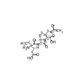 C=CC(N)(CCC(=O)O)C(=O)NC1C(=O)N2C(C(=O)O)=C(COC(C)=O)CSC12